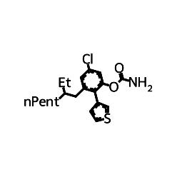 CCCCCC(CC)Cc1cc(Cl)cc(OC(N)=O)c1-c1ccsc1